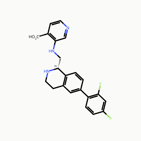 O=C(O)c1ccncc1NC[C@H]1NCCc2cc(-c3ccc(F)cc3F)ccc21